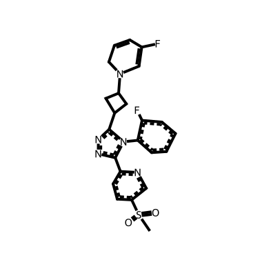 CS(=O)(=O)c1ccc(-c2nnc(C3CC(N4C=C(F)C=CC4)C3)n2-c2ccccc2F)nc1